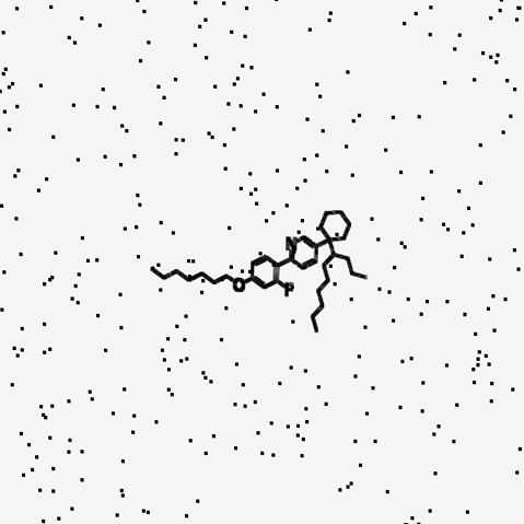 CCCCCCCOc1ccc(-c2ccc(C3(C(CCC)CCCCCC)CCCCC3)cn2)c(F)c1